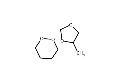 C1CCOOC1.CC1COCO1